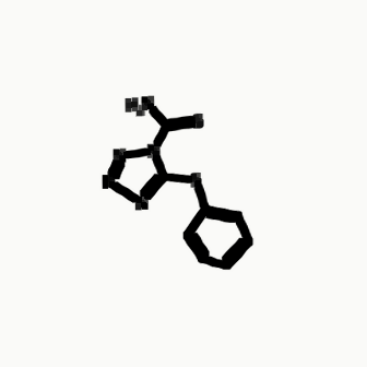 NC(=S)n1nnnc1Sc1ccccc1